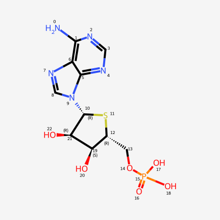 Nc1ncnc2c1ncn2[C@@H]1S[C@H](COP(=O)(O)O)[C@@H](O)[C@H]1O